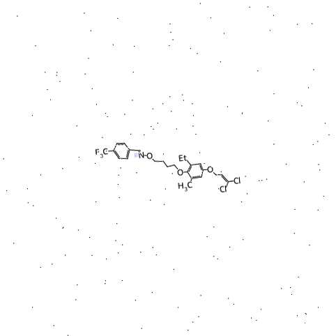 CCc1cc(OCC=C(Cl)Cl)cc(C)c1OCCCCO/N=C/c1ccc(C(F)(F)F)cc1